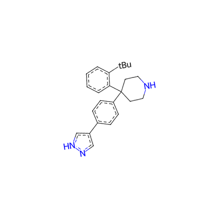 CC(C)(C)c1ccccc1C1(c2ccc(-c3cn[nH]c3)cc2)CCNCC1